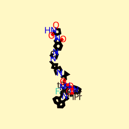 CC(C)[Si](C#Cc1cccc2cccc(-c3ncc4c(N5CC6CCC(C5)N6C(=O)OC(C)(C)C)nc(OCC5(CN6CCC7(CC6)CC(CN6CCN(c8ccc9c(c8)CN([C@H]8CCC(=O)NC8=O)C9=O)CC6)C7)CC5)nc4c3F)c12)(C(C)C)C(C)C